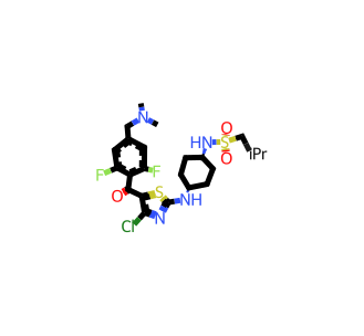 CC(C)CS(=O)(=O)N[C@H]1CC[C@H](Nc2nc(Cl)c(C(=O)c3c(F)cc(CN(C)C)cc3F)s2)CC1